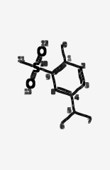 Cc1ccc(C(C)C)cc1S(C)(=O)=O